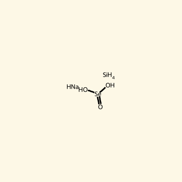 O=[Se](O)O.[NaH].[SiH4]